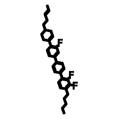 C/C=C/CCC1CC=C(c2ccc(-c3ccc(-c4ccc(CCCCC)c(F)c4F)cc3)cc2F)CC1